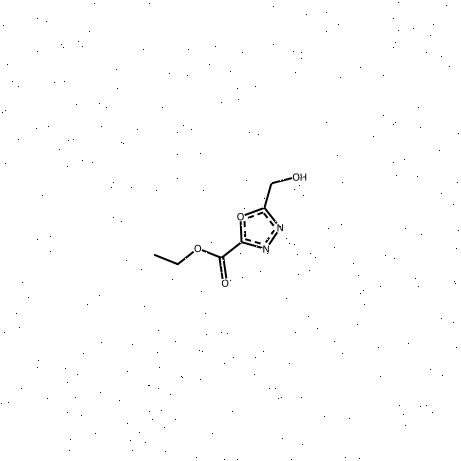 CCOC(=O)c1nnc(CO)o1